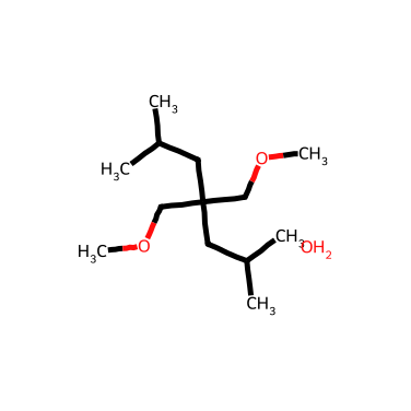 COCC(COC)(CC(C)C)CC(C)C.O